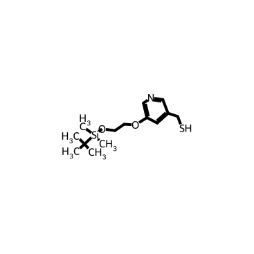 CC(C)(C)[Si](C)(C)OCCOc1cncc(CS)c1